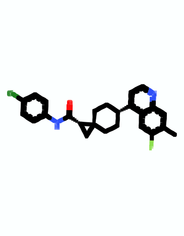 Cc1cc2nccc([C@H]3CC[C@@]4(CC3)C[C@@H]4C(=O)Nc3ccc(Cl)cc3)c2cc1F